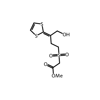 COC(=O)CS(=O)(=O)CCC(CO)=C1SC=CS1